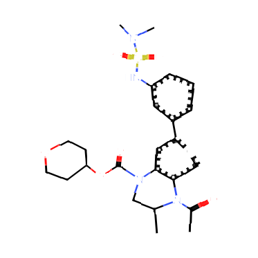 CC(=O)N1c2ccc(-c3cccc(NS(=O)(=O)N(C)C)c3)cc2N(C(=O)OC2CCOCC2)CC1C